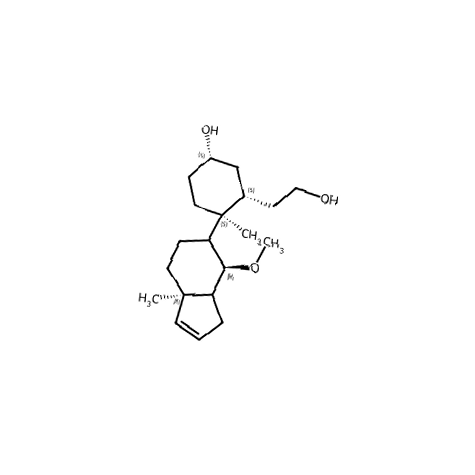 CO[C@H]1C2CC=C[C@@]2(C)CCC1[C@@]1(C)CC[C@H](O)C[C@@H]1CCO